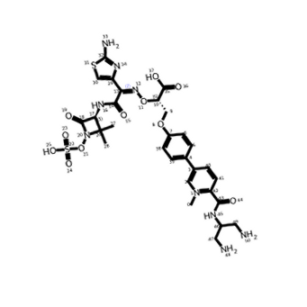 C[n+]1cc(-c2ccc(OC[C@H](O/N=C(\C(=O)N[C@@H]3C(=O)N(OS(=O)(=O)O)C3(C)C)c3csc(N)n3)C(=O)O)cc2)ccc1C(=O)NC(CN)CN